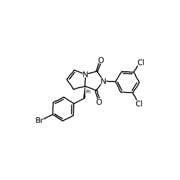 O=C1N(c2cc(Cl)cc(Cl)c2)C(=O)[C@]2(Cc3ccc(Br)cc3)CC=CN12